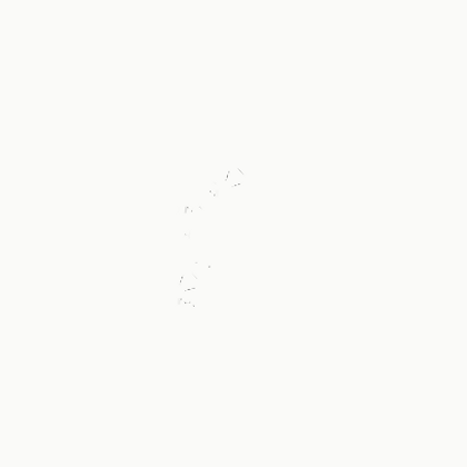 CN1Cc2cc(C3(O)CCC(N4CC[C@@H](NC(=O)CNC(=O)c5cccc(C(F)(F)F)c5)C4)CC3)ccc2N1